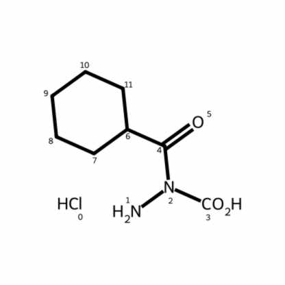 Cl.NN(C(=O)O)C(=O)C1CCCCC1